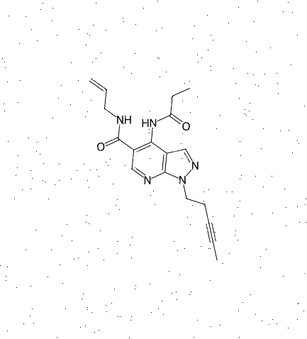 C=CCNC(=O)c1cnc2c(cnn2CCC#CC)c1NC(=O)CC